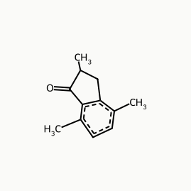 Cc1ccc(C)c2c1CC(C)C2=O